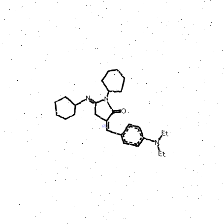 CCN(CC)c1ccc(/C=C2/CC(=NC3CCCCC3)N(C3CCCCC3)C2=O)cc1